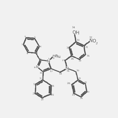 CCCCn1c(-c2ccccc2)nc(-c2ccccc2)c1CN(Cc1ccccc1)Cc1ccc([N+](=O)[O-])c(O)c1